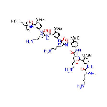 COc1ccc(NC(=O)[C@H](CCCCN)NC(=O)c2cc(NC(=O)[C@@H](N)CCCCN)ccc2OC)cc1C(=O)N[C@@H](CCCCN)C(=O)Nc1ccc(OC)c(C(=O)N[C@@H](CCCCN)C(=O)Nc2ccc(OC)c(C(=O)N[C@@](C)(CCC(=O)O)C(C)=O)c2)c1